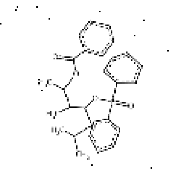 CC(C)CC(OP(=O)(c1ccccc1)c1ccccc1)C(C)C(C)OC(=O)c1ccccc1